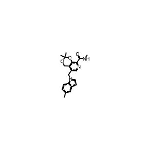 CNC(=O)c1ncc(Cn2ccc3cc(C)ccc32)c2c1OC(C)(C)OC2